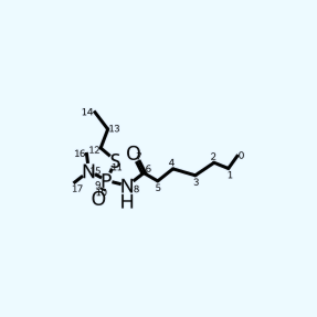 CCCCCCC(=O)NP(=O)(SCCC)N(C)C